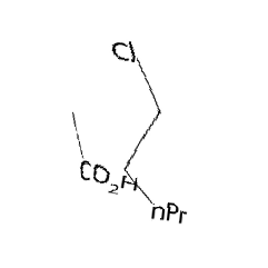 CC(=O)O.CCCCCCl